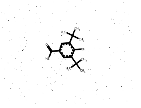 CC(C)(C)c1cc(C(=O)S)cc(C(C)(C)C)c1O